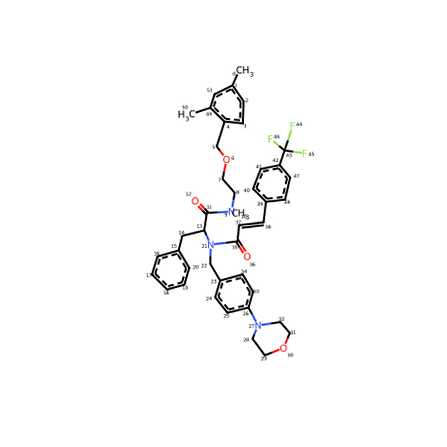 Cc1ccc(COCCN(C)C(=O)C(Cc2ccccc2)N(Cc2ccc(N3CCOCC3)cc2)C(=O)C=Cc2ccc(C(F)(F)F)cc2)c(C)c1